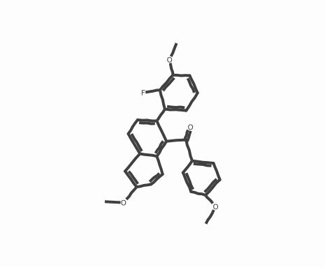 COc1ccc(C(=O)c2c(-c3cccc(OC)c3F)ccc3cc(OC)ccc23)cc1